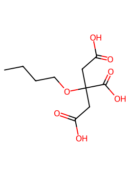 CCCCOC(CC(=O)O)(CC(=O)O)C(=O)O